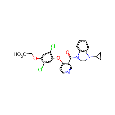 O=C(O)COc1cc(Cl)c(Oc2ccncc2C(=O)N2CCN(C3CC3)c3ccccc32)cc1Cl